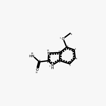 COc1cccc2[nH]c(C([NH])=O)nc12